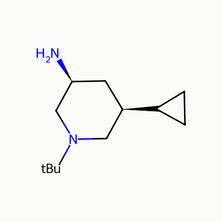 CC(C)(C)N1C[C@@H](N)C[C@@H](C2CC2)C1